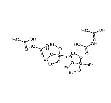 CCC[Si](OCC)(OCC)OCC.CCC[Si](OCC)(OCC)OCC.O=S(O)O.O=S(O)O.O=S(O)O.O=S(O)O